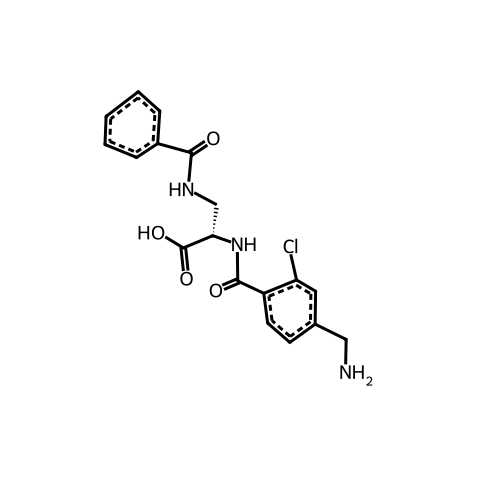 NCc1ccc(C(=O)N[C@@H](CNC(=O)c2ccccc2)C(=O)O)c(Cl)c1